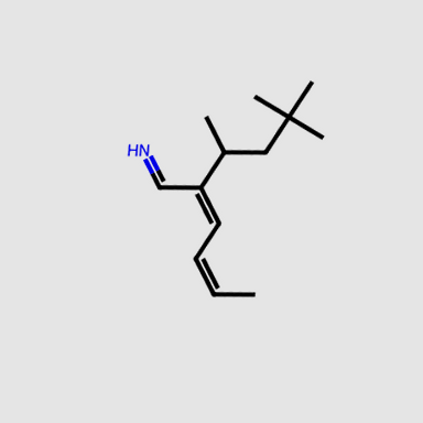 C/C=C\C=C(/C=N)C(C)CC(C)(C)C